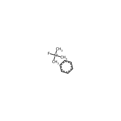 C[N+](C)(C)F.c1ccccc1